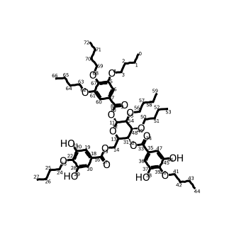 CCCCOc1cc(C(=O)O[C@@H]2OC(COC(=O)c3cc(O)c(OCCCC)c(O)c3)[C@@H](OC(=O)c3cc(O)c(OCCCC)c(O)c3)[C@H](OCCCC)C2OCCCC)cc(OCCCC)c1OCCCC